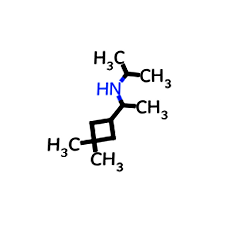 CC(C)NC(C)C1CC(C)(C)C1